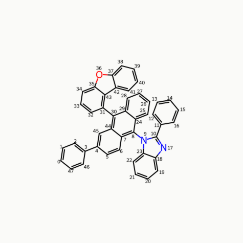 c1ccc(-c2ccc3c(-n4c(-c5ccccc5)nc5ccccc54)c4ccccc4c(-c4cccc5oc6ccccc6c45)c3c2)cc1